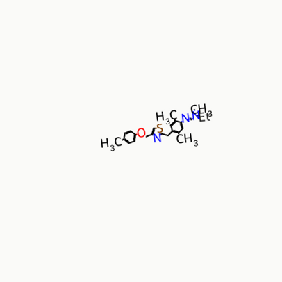 CCN(C)/C=N/c1cc(C)c(Cc2nc(COc3ccc(C)cc3)cs2)cc1C